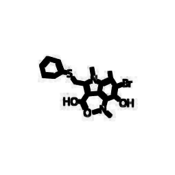 Cc1c(Br)c(O)c(N(C)C)c2c(C(=O)O)c(CSc3ccccc3)n(C)c12